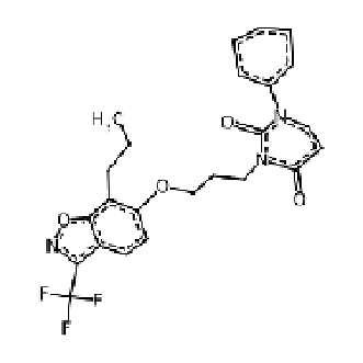 CCCc1c(OCCCn2c(=O)ccn(-c3ccccc3)c2=O)ccc2c(C(F)(F)F)noc12